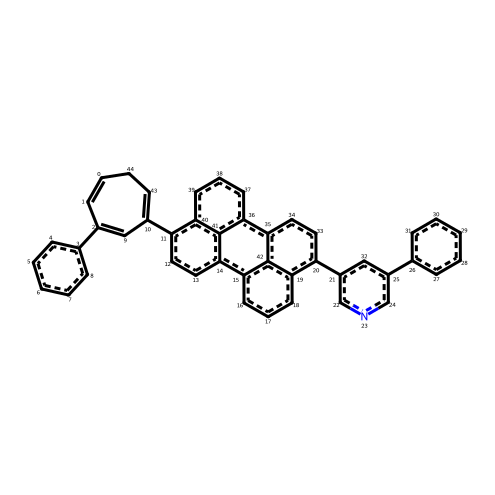 C1=CC(c2ccccc2)=CC(c2ccc3c4cccc5c(-c6cncc(-c7ccccc7)c6)ccc(c6cccc2c36)c54)=CC1